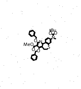 COC(=O)c1c(OCc2ccccc2)nc2c(c1OCc1ccccc1)CCSc1cc(N(C)C(=O)OC(C)(C)C)ccc1-2